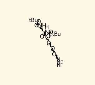 CC(C)(C)OC(=O)NCCC[C@H](NC(=O)OC(C)(C)C)C(=O)NCCOCCOCCOCCN=[N+]=[N-]